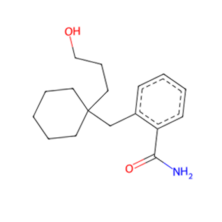 NC(=O)c1ccccc1CC1(CCCO)CCCCC1